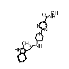 Cc1[nH]c2ccccc2c1CCNC1CCN(c2ncc(C(=O)NO)cn2)CC1